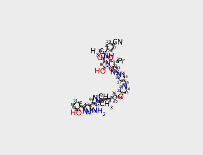 CC(C)[C@@H](C(=O)N1C[C@H](O)C[C@H]1C(=O)N[C@@H](C)c1ccc(C#N)cc1)c1cc(N2CCC(CN3CCC(O[C@H]4C[C@H](C#CC(C)(C)n5cc(-c6cc(-c7ccccc7O)nnc6N)cn5)C4)CC3)CC2)no1